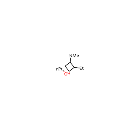 CCC1CCC1NC.CCCO